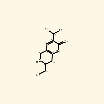 O=c1[nH]c2c(cc1C(F)F)COC(CI)C2